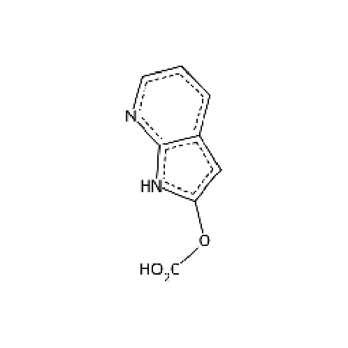 O=C(O)Oc1cc2cccnc2[nH]1